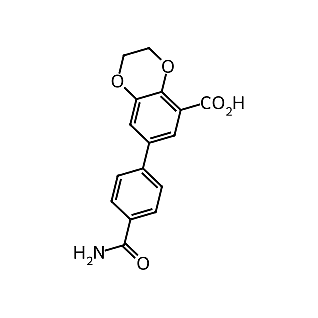 NC(=O)c1ccc(-c2cc3c(c(C(=O)O)c2)OCCO3)cc1